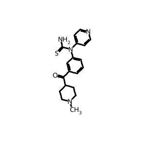 CN1CCC(C(=O)c2cccc(N(C(N)=S)c3ccncc3)c2)CC1